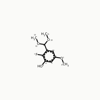 COc1cc(O)c(F)c(C(OC)OC)c1